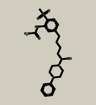 CS(=O)(=O)c1ccc(CCCCC(O)N2CCN(c3ccccc3)CC2)cc1NC(N)=O